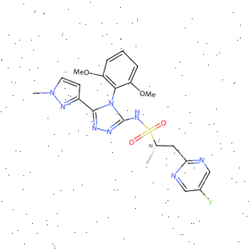 COc1cccc(OC)c1-n1c(NS(=O)(=O)[C@@H](C)Cc2ncc(F)cn2)nnc1-c1ccn(C)n1